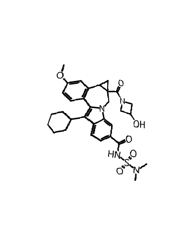 COc1ccc2c(c1)C1CC1(C(=O)N1CC(O)C1)Cn1c-2c(C2CCCCC2)c2ccc(C(=O)NS(=O)(=O)N(C)C)cc21